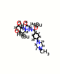 CN1CCN(c2ccc(C(=O)N[C@@H](CC(C)(C)C)C(=O)N3C[C@@H](C(C)(C)C)[C@H]4OCC(=O)[C@H]43)cc2)CC1